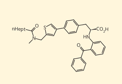 CCCCCCCC(=O)N(C)Cc1cc(-c2ccc(C[C@H](Nc3ccccc3C(=O)c3ccccc3)C(=O)O)cc2)cs1